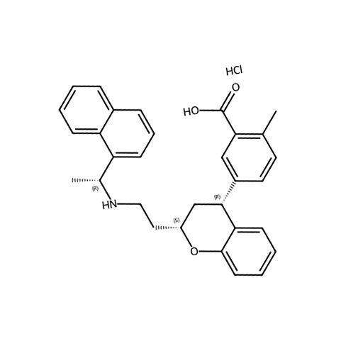 Cc1ccc([C@H]2C[C@@H](CCN[C@H](C)c3cccc4ccccc34)Oc3ccccc32)cc1C(=O)O.Cl